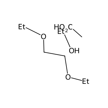 CC(=O)O.CCO.CCOCCOCC